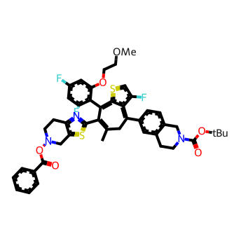 COCCOc1cc(F)cc(F)c1C1=c2scc(F)c2=C(c2ccc3c(c2)CCN(C(=O)OC(C)(C)C)C3)CC(C)=C1c1nc2c(s1)CN(OC(=O)c1ccccc1)CC2